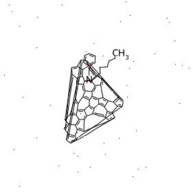 CCCCCCC1N(c2ccccc2)CC23c4c5c6c7c8c9c(c%10c%11c2c2c4c4c%12c5c5c6c6c8c8c%13c9c9c%10c%10c%11c%11c2c2c4c4c%12c%12c5c5c6c8c6c8c%13c9c9c%10c%10c%11c2c2c4c4c%12c5c6c5c8c9c%10c2c45)C713